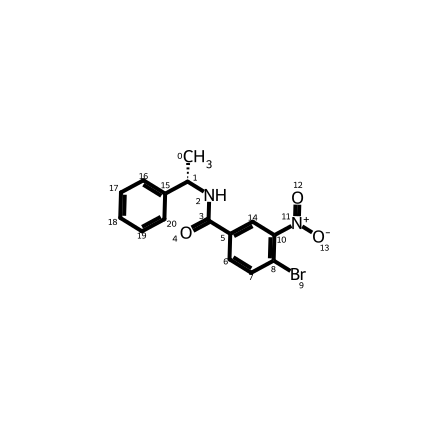 C[C@H](NC(=O)c1ccc(Br)c([N+](=O)[O-])c1)c1ccccc1